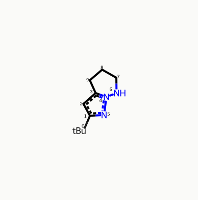 CC(C)(C)c1cc2n(n1)NCCC2